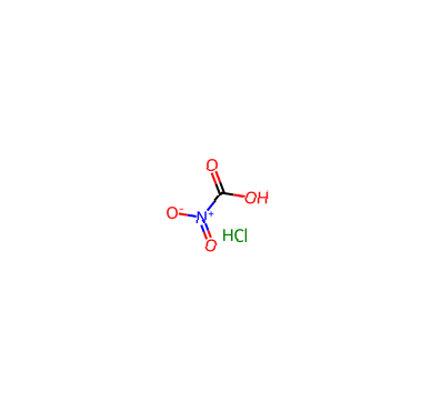 Cl.O=C(O)[N+](=O)[O-]